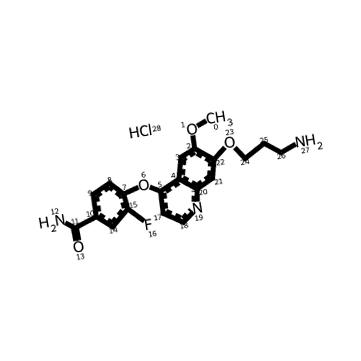 COc1cc2c(Oc3ccc(C(N)=O)cc3F)ccnc2cc1OCCCN.Cl